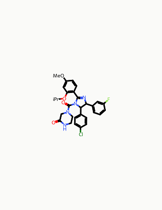 COc1ccc(C2=NC(c3cccc(F)c3)C(c3ccc(Cl)cc3)N2C(=O)N2CCNC(=O)C2)c(OC(C)C)c1